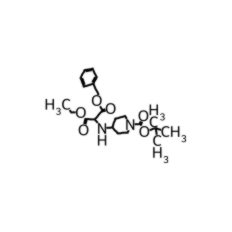 CCOC(=O)C(NC1CCN(C(=O)OC(C)(C)C)CC1)C(=O)OCc1ccccc1